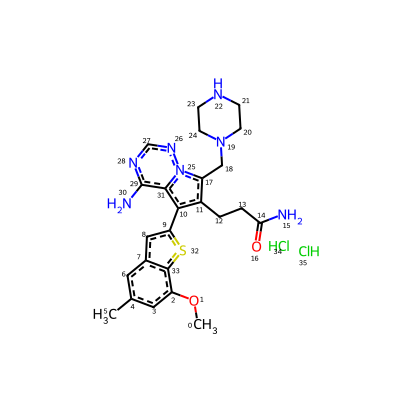 COc1cc(C)cc2cc(-c3c(CCC(N)=O)c(CN4CCNCC4)n4ncnc(N)c34)sc12.Cl.Cl